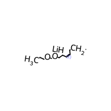 [CH2]C/C=C\CCOCOCCC.[LiH]